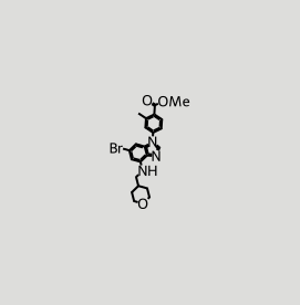 COC(=O)c1ccc(-n2cnc3c(NCC4CCOCC4)cc(Br)cc32)cc1C